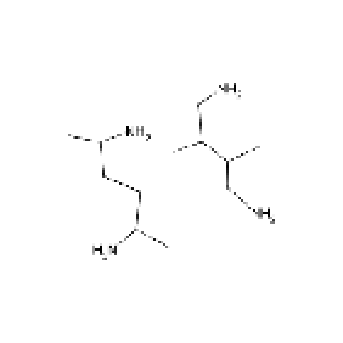 CC(CN)C(C)CN.CC(N)CCC(C)N